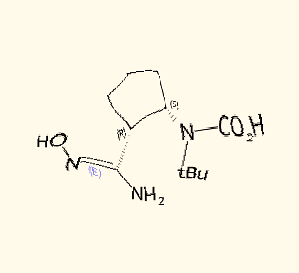 CC(C)(C)N(C(=O)O)[C@H]1CCC[C@H]1/C(N)=N\O